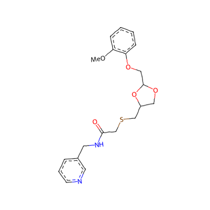 COc1ccccc1OCC1OCC(CSCC(=O)NCc2cccnc2)O1